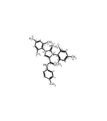 Cc1ccc(NC(=O)c2cn(-c3c(C)cc(C)cc3C)c(=N)n2-c2c(C)cc(C)cc2C)cc1